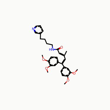 COc1ccc(C(=CC(C)=CC(=O)NCCCCc2cccnc2)c2ccc(OC)c(OC)c2)cc1OC